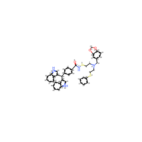 O=C(NSCCN(CCSc1ccccc1)Cc1ccc2c(c1)OCO2)c1ccc(C(c2c[nH]c3ccccc23)c2c[nH]c3ccccc23)cc1